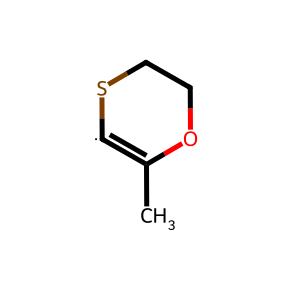 CC1=[C]SCCO1